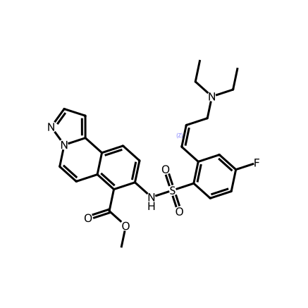 CCN(CC)C/C=C\c1cc(F)ccc1S(=O)(=O)Nc1ccc2c(ccn3nccc23)c1C(=O)OC